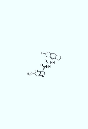 C[C@@H]1Cn2ncc([S+]([O-])NC(=O)Nc3c4c(cc5c3C[C@@H](F)C5)CCC4)c2O1